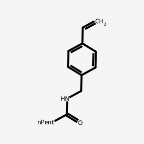 C=Cc1ccc(CNC(=O)CCCCC)cc1